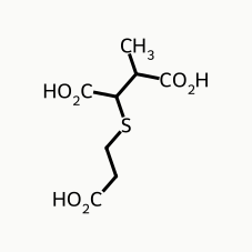 CC(C(=O)O)C(SCCC(=O)O)C(=O)O